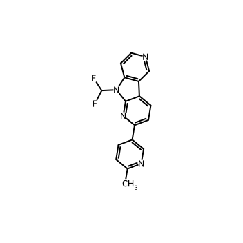 Cc1ccc(-c2ccc3c4cnccc4n(C(F)F)c3n2)cn1